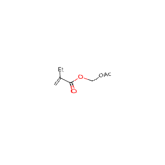 C=C(CC)C(=O)OCOC(C)=O